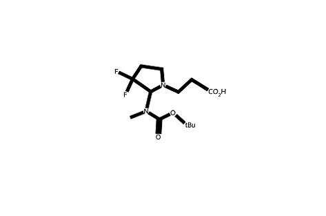 CN(C(=O)OC(C)(C)C)C1N(CCC(=O)O)CCC1(F)F